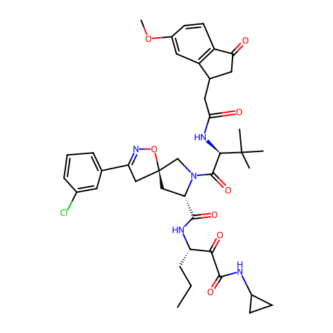 CCC[C@H](NC(=O)[C@@H]1C[C@]2(CC(c3cccc(Cl)c3)=NO2)CN1C(=O)[C@@H](NC(=O)CC1CC(=O)c2ccc(OC)cc21)C(C)(C)C)C(=O)C(=O)NC1CC1